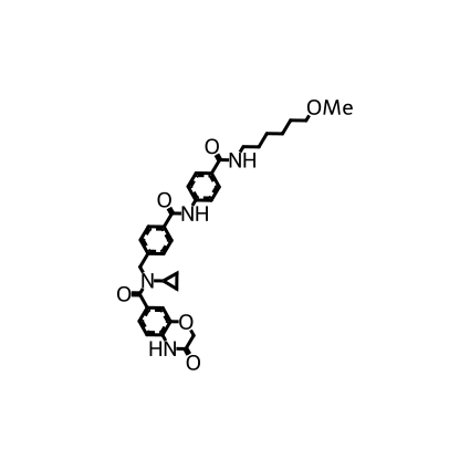 COCCCCCCNC(=O)c1ccc(NC(=O)c2ccc(CN(C(=O)c3ccc4c(c3)OCC(=O)N4)C3CC3)cc2)cc1